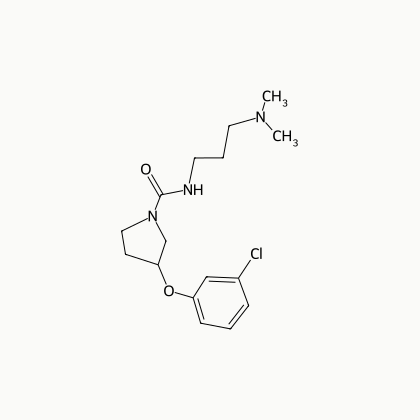 CN(C)CCCNC(=O)N1CCC(Oc2cccc(Cl)c2)C1